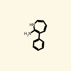 NC1=C(c2ccccc2)C=CC=CN1